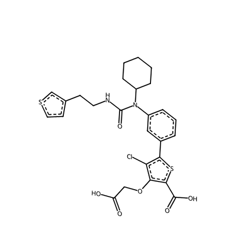 O=C(O)COc1c(C(=O)O)sc(-c2cccc(N(C(=O)NCCc3ccsc3)C3CCCCC3)c2)c1Cl